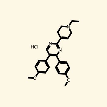 CCN1CC=C(c2ncc(-c3ccc(OC)cc3)c(-c3ccc(OC)cc3)n2)CC1.Cl